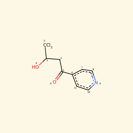 O=C(CC(O)C(Cl)(Cl)Cl)c1ccncc1